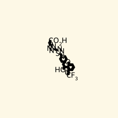 O=C(O)Cn1nnc(-c2nnc(N3CCC4(CC3)CC(O)c3c(OC(F)(F)F)cccc3O4)s2)n1